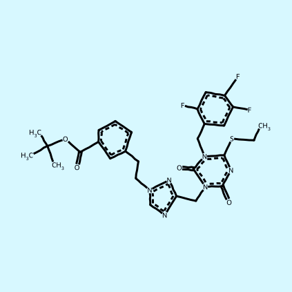 CCSc1nc(=O)n(Cc2ncn(CCc3cccc(C(=O)OC(C)(C)C)c3)n2)c(=O)n1Cc1cc(F)c(F)cc1F